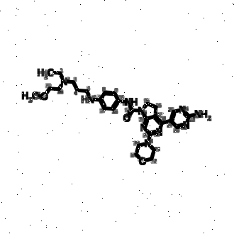 CCN(CCCNc1ccc(NC(=O)N2CCc3c(-c4cnc(N)nc4)nc(N4CCOCC4)nc32)cc1)CCOC